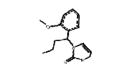 CCCC(c1ccccc1OC)N1C=C[N]C1=O